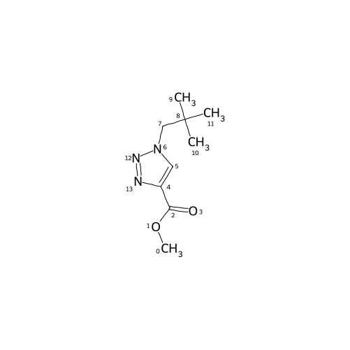 COC(=O)c1cn(CC(C)(C)C)nn1